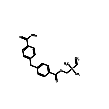 C=C[Si](C)(C)COC(=O)c1ccc(Cc2ccc(C(=O)OC)cc2)cc1